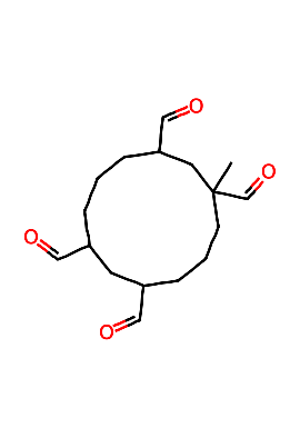 CC1(C=O)CCCC(C=O)CC(C=O)CCCC(C=O)C1